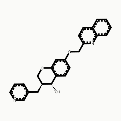 O[C@H]1c2ccc(OCc3ccc4ccccc4n3)cc2OC[C@@H]1Cc1cccnc1